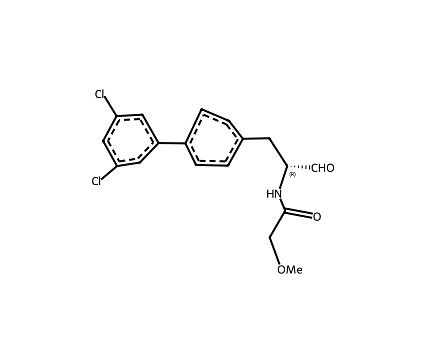 COCC(=O)N[C@@H](C=O)Cc1ccc(-c2cc(Cl)cc(Cl)c2)cc1